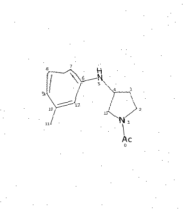 CC(=O)N1CCC(Nc2cccc(C)c2)C1